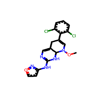 CON1C=C(c2c(Cl)cccc2Cl)CC2=CN=C(Nc3ccon3)NC21